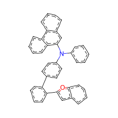 c1ccc(N(c2ccc(-c3ccccc3-c3cc4ccccc4o3)cc2)c2cc3ccccc3c3ccccc23)cc1